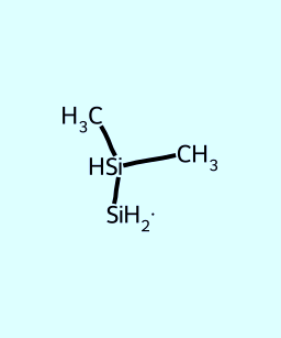 C[SiH](C)[SiH2]